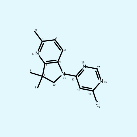 Cc1ccc2c(n1)C(C)(C)CN2c1cc(Cl)ncn1